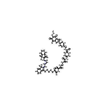 CCCn1c(=O)c2[nH]c(-c3ccc(OCC(=O)N4CCN(CC(=O)NCOCNC(=O)CN(C)C(=O)CCCCCN5/C(=C/C=C/C=C/C6=[N+](C)c7ccccc7C6(C)C)C(C)(C)c6ccccc65)CC4)cc3)cc2n(C)c1=O